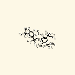 Cc1cc(OP(C)Oc2cc(C)c(C(C)(C)C)cc2C(C)(C)C)c(C(C)(C)C)cc1C(C)(C)C